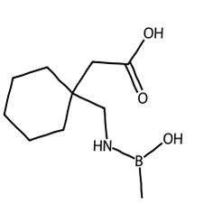 CB(O)NCC1(CC(=O)O)CCCCC1